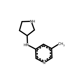 Cc1cncc(NC2CCNC2)c1